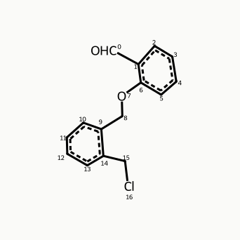 O=Cc1ccccc1OCc1ccccc1CCl